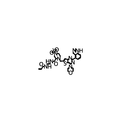 C=CC(=O)NCCNC(=O)C1CN(S(C)(=O)=O)CCN1Cc1cc2nc(-c3cccc4[nH]ncc34)nc(N3CCOCC3)c2s1